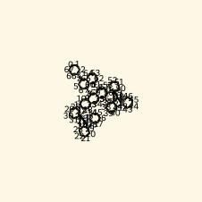 c1ccc(-c2ccc(-c3c4cccc(-c5cccc6c7ccccc7n(-c7ccccc7)c56)c4cc4c(-c5cccc6c7ccccc7n(-c7ccccc7)c56)cccc34)c3ccccc23)cc1